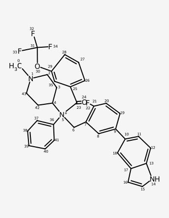 CN1CCC([N+](Cc2cc(-c3ccc4[nH]ccc4c3)ccc2F)(C(=O)c2cccc(OC(F)(F)F)c2)c2ccccc2)CC1